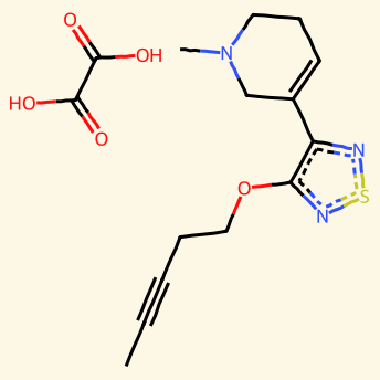 CC#CCCOc1nsnc1C1=CCCN(C)C1.O=C(O)C(=O)O